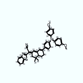 COc1ccc(N(c2ccc(OC)cc2)c2ccc(C3=CC4=C/C(=C(\C#N)c5nc6ccccc6s5)CC(C)(C)C4CC3)cc2)cc1